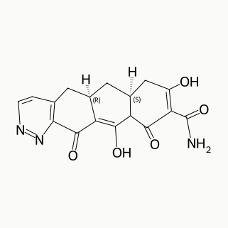 NC(=O)C1=C(O)C[C@@H]2C[C@@H]3Cc4ccnnc4C(=O)C3=C(O)C2C1=O